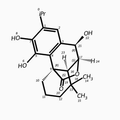 CC(C)c1cc2c(c(O)c1O)[C@@]13CCCC(C)(C)[C@@H]1[C@H](OC3=O)[C@@H]2O